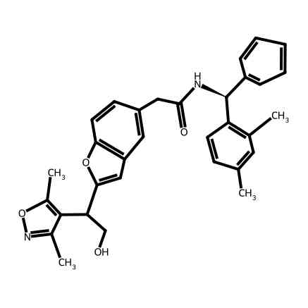 Cc1ccc([C@@H](NC(=O)Cc2ccc3oc(C(CO)c4c(C)noc4C)cc3c2)c2ccccc2)c(C)c1